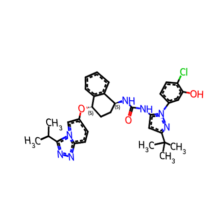 CC(C)c1nnc2ccc(O[C@H]3CC[C@H](NC(=O)Nc4cc(C(C)(C)C)nn4-c4ccc(Cl)c(O)c4)c4ccccc43)cn12